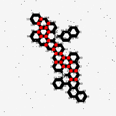 c1ccc(-c2ccc(-c3ccc(-c4cccc(-c5cccc6cccc(-c7ccccc7N(c7ccccc7-c7ccc(-c8ccccc8)cc7)c7ccccc7-c7cccc8c7ccc7ccccc78)c56)c4)cc3N(c3ccc4ccccc4c3)c3ccccc3-c3cccc4cccc(-c5ccccc5)c34)cc2)cc1